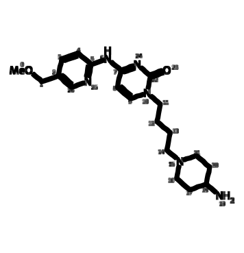 COCc1ccc(Nc2ccn(CCCCN3CCC(N)CC3)c(=O)n2)nc1